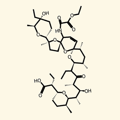 CCOC(=O)C(=O)NC1C=C[C@]2(O[C@H](C(CC)C(=O)[C@@H](C)[C@@H](O)[C@H](C)[C@@H]3O[C@@H]([C@@H](CC)C(=O)O)CC[C@@H]3C)[C@@H](C)C[C@H]2C)O[C@@]12CC[C@@](C)([C@H]1CC[C@](O)(CC)[C@H](C)O1)O2